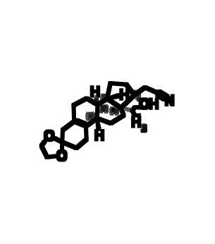 C[C@]12CC[C@@H]3C4=C(CC[C@H]3[C@@H]1CC[C@@]2(O)CC#N)CC1(CC4)OCCO1